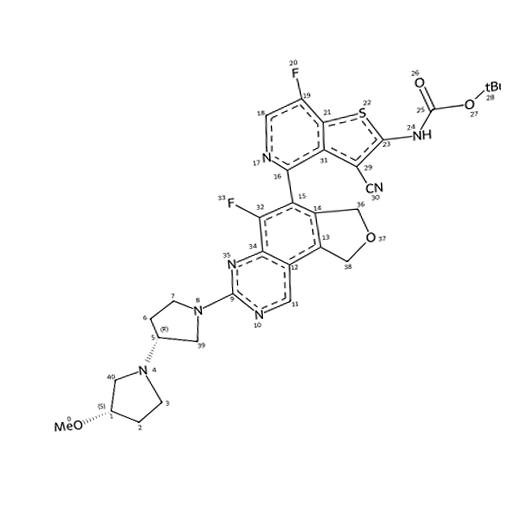 CO[C@H]1CCN([C@@H]2CCN(c3ncc4c5c(c(-c6ncc(F)c7sc(NC(=O)OC(C)(C)C)c(C#N)c67)c(F)c4n3)COC5)C2)C1